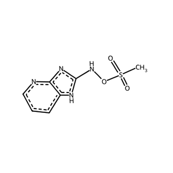 CS(=O)(=O)ONc1nc2ncccc2[nH]1